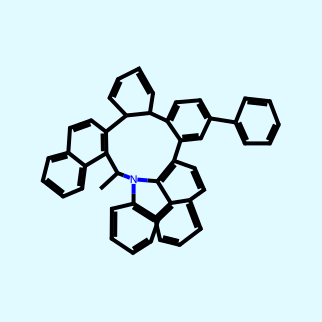 CC1c2c(ccc3ccccc23)C2C=CC=CC2c2ccc(-c3ccccc3)cc2-c2ccc3ccccc3c2N1c1ccccc1